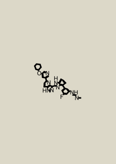 CN(C)CCNc1cc(F)cc(-c2cccc3[nH]c(-c4n[nH]c5ccc(-c6cncc(OC7CCCCC7)c6)nc45)nc23)c1